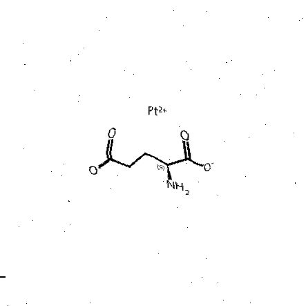 N[C@@H](CCC(=O)[O-])C(=O)[O-].[Pt+2]